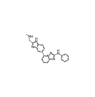 CNCc1nc2cc(-c3cccc4nc(Nc5ccccc5)nn34)ccc2[nH]1